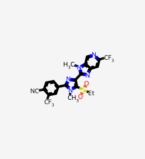 CCS(=O)(=O)c1c(-c2nc3cc(C(F)(F)F)ncc3n2C)nc(-c2ccc(C#N)c(C(F)(F)F)c2)n1C